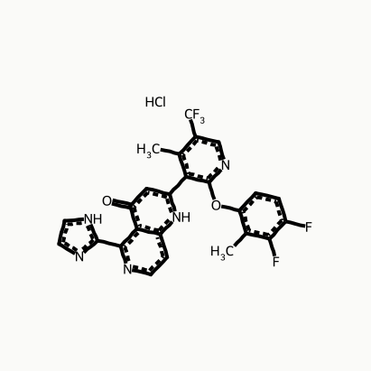 Cc1c(Oc2ncc(C(F)(F)F)c(C)c2-c2cc(=O)c3c(-c4ncc[nH]4)nccc3[nH]2)ccc(F)c1F.Cl